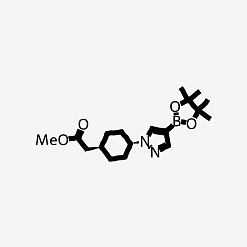 COC(=O)C[C@H]1CC[C@H](n2cc(B3OC(C)(C)C(C)(C)O3)cn2)CC1